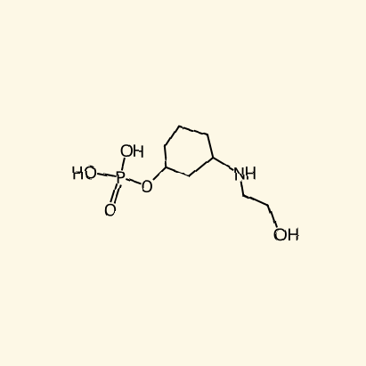 O=P(O)(O)OC1CCCC(NCCO)C1